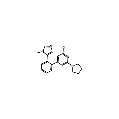 Cn1cnnc1-c1ccccc1-c1cc(Cl)nc(N2CCCC2)c1